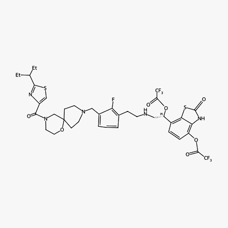 CCC(CC)c1nc(C(=O)N2CCOC3(CCN(Cc4cccc(CCNC[C@H](OC(=O)C(F)(F)F)c5ccc(OC(=O)C(F)(F)F)c6[nH]c(=O)sc56)c4F)CC3)C2)cs1